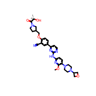 COc1nc(Nc2nccc(-c3ccc(OCC4CCN(C(=O)[C@H](C)O)C4)c(C#N)c3)n2)ccc1N1CCN(C2COC2)CC1